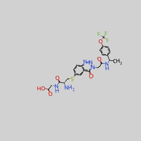 CC(NC(=O)Cn1nnc2ccc(SCC(N)C(=O)NCC(=O)O)cc2c1=O)c1ccc(OC(F)(F)F)cc1